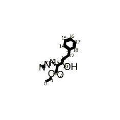 CCOC(=O)[C@@H](N=[N+]=[N-])[C@H](O)CCc1ccccc1